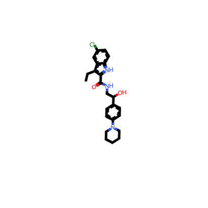 CCc1c(C(=O)NCC(O)c2ccc(N3CCCCC3)cc2)[nH]c2ccc(Cl)cc12